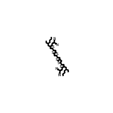 CCCCC(CC)Cc1cc(-c2cc3sc(-c4cc5cc(-c6cc(CC(CC)CCCC)c(C=C(C#N)C#N)s6)sc5s4)cc3s2)sc1C=C(C#N)C#N